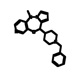 CN1c2ccncc2OC(C2CCN(Cc3ccccc3)CC2)c2cccn21